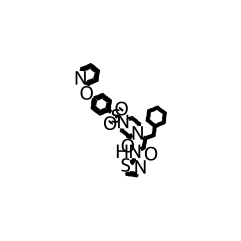 O=C(Nc1nccs1)C(CC1CCCCC1)N1CCN(S(=O)(=O)c2ccc(Oc3ccccn3)cc2)CC1=O